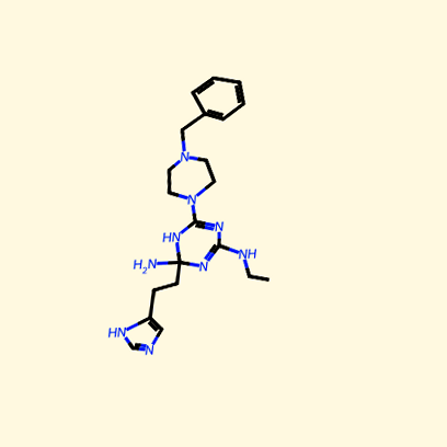 CCNC1=NC(N)(CCc2cnc[nH]2)NC(N2CCN(Cc3ccccc3)CC2)=N1